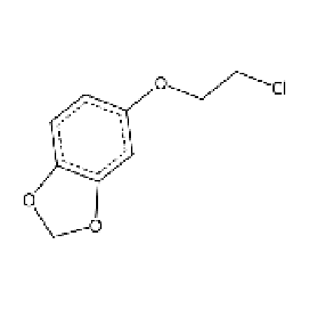 ClCCOc1ccc2c(c1)OCO2